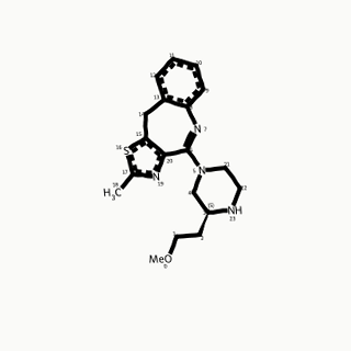 COCC[C@H]1CN(C2=Nc3ccccc3Cc3sc(C)nc32)CCN1